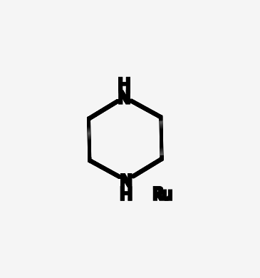 C1CNCCN1.[Ru]